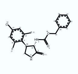 O=C(N[C@@H]1C(=S)NC[C@H]1c1c(F)cc(Cl)cc1F)OCc1ccccc1